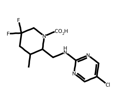 CC1CC(F)(F)CN(C(=O)O)C1CNc1ncc(Cl)cn1